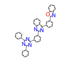 c1ccc(-c2nc(-c3ccccc3)nc(-c3cccc(-c4nc(-c5cccc(-c6nc7ccccc7o6)c5)c5ccccc5n4)c3)n2)cc1